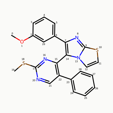 COc1cccc(-c2nc3sccn3c2-c2nc(SC)ncc2-c2ccccc2)c1